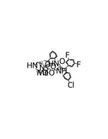 COC(=O)N[C@H](C(=O)Nc1ccccc1CC[C@H]1CNC[C@H](C)N1S(C)(=O)=O)[C@@H](c1ccc(Cl)cc1)c1cc(F)cc(F)c1